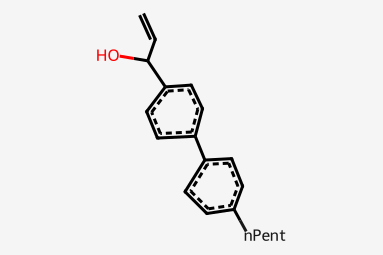 C=CC(O)c1ccc(-c2ccc(CCCCC)cc2)cc1